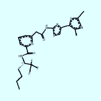 CCCC[C@H](NC(=O)c1cccc(CC(=O)Nc2nc(-c3sc(C)nc3C)cs2)n1)C(F)(F)F